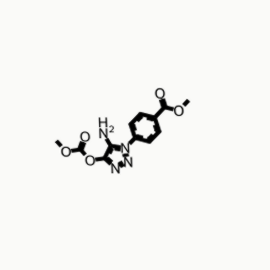 COC(=O)Oc1nnn(-c2ccc(C(=O)OC)cc2)c1N